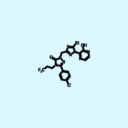 CCc1nc(Cn2nc(-c3ccc(Cl)cc3)n(CCC(F)(F)F)c2=O)nn1-c1nccnc1O